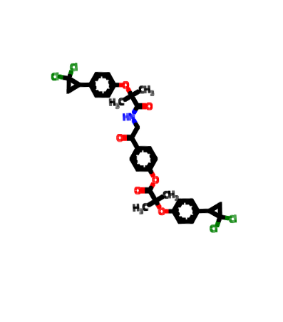 CC(C)(Oc1ccc(C2CC2(Cl)Cl)cc1)C(=O)NCC(=O)c1ccc(OC(=O)C(C)(C)Oc2ccc(C3CC3(Cl)Cl)cc2)cc1